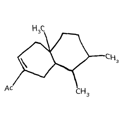 CC(=O)C1=CCC2(C)CCC(C)C(C)C2C1